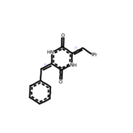 CC(C)/C=c1\[nH]c(=O)/c(=C\c2ccccc2)[nH]c1=O